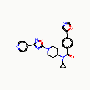 O=C(c1ccc(-c2cnco2)cc1)N(C1CC1)C1CCN(c2nc(-c3ccncc3)no2)CC1